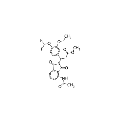 CCOc1cc(C(CC(=O)OC)N2C(=O)c3cccc(NC(C)=O)c3C2=O)ccc1OC(F)F